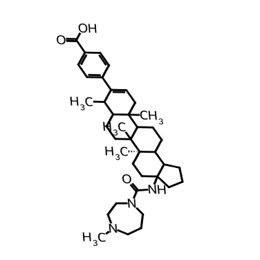 CC1C(c2ccc(C(=O)O)cc2)=CCC2(C)C1CCC1(C)C2CCC2C3CCCC3(NC(=O)N3CCCN(C)CC3)CC[C@]21C